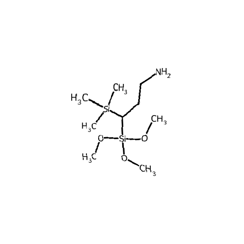 CO[Si](OC)(OC)C(CCN)[Si](C)(C)C